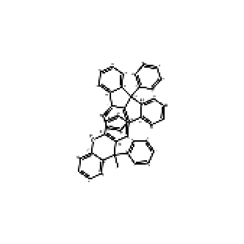 CC1(c2ccccc2)c2ccccc2Oc2ccc(-c3ccccc3C3(c4ccccc4)c4ccccc4-c4ccccc43)cc21